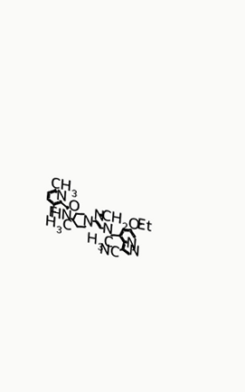 C=N/C(=C\N=C(/C)c1cc(OCC)cn2ncc(C#N)c12)N1CCC(C)(NC(=O)c2nc(C)ccc2F)CC1